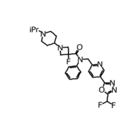 CC(C)N1CCC(N2CC(F)(C(=O)N(Cc3ccc(-c4nnc(C(F)F)o4)cn3)c3ccccc3)C2)CC1